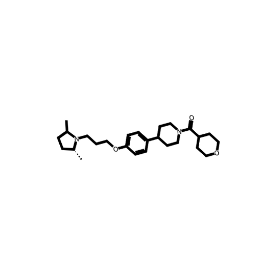 CC1CC[C@@H](C)N1CCCOc1ccc(C2CCN(C(=O)C3CCOCC3)CC2)cc1